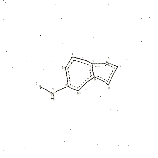 INc1ccc2sccc2c1